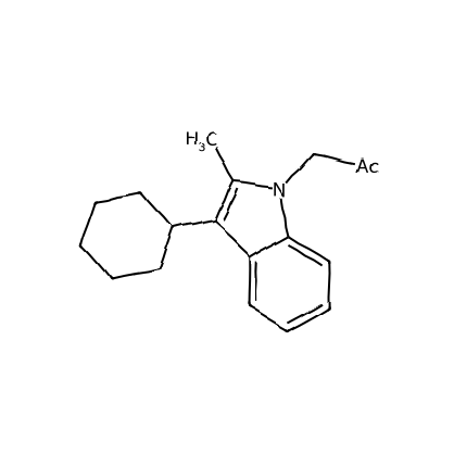 CC(=O)Cn1c(C)c(C2CCCCC2)c2ccccc21